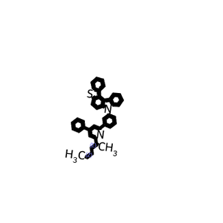 C/C=C\C=C(/C)c1cc(-c2ccccc2)cc(-c2cccc(-n3c4ccccc4c4c5c(ccc43)sc3ccccc35)c2)n1